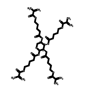 C=C(C)C(=O)OCCCCC(=O)C[C@H]1C(OC(=O)CCCCOC(=O)C(=C)C)OC[C@@H](OC(=O)CCCCOC(=O)C(=C)C)[C@@H]1OC(=O)CCCCOC(=O)C(=C)C